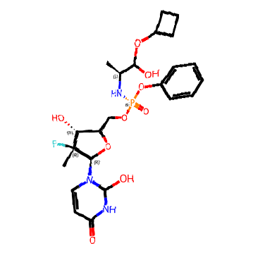 C[C@H](N[P@](=O)(OCC1O[C@@H](N2C=CC(=O)NC2O)[C@](C)(F)[C@@H]1O)Oc1ccccc1)C(O)OC1CCC1